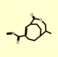 C=NC(=O)/C1=C/C2CCC(CC1)C(C)COC2=O